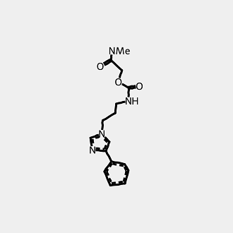 CNC(=O)COC(=O)NCCCn1cnc(-c2ccccc2)c1